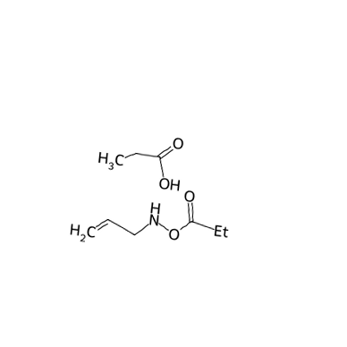 C=CCNOC(=O)CC.CCC(=O)O